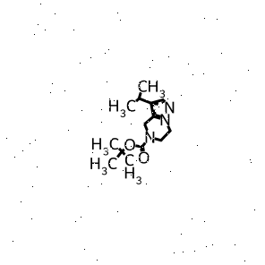 CC(C)c1cnn2c1CN(C(=O)OC(C)(C)C)CC2